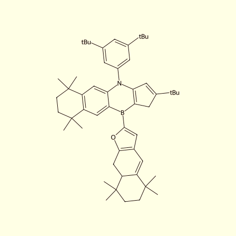 CC(C)(C)C1=CC2=C(C1)B(c1cc3c(o1)CC1C(=C3)C(C)(C)CCC1(C)C)c1cc3c(cc1N2c1cc(C(C)(C)C)cc(C(C)(C)C)c1)C(C)(C)CCC3(C)C